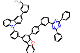 Cc1cccc(-c2ccc3c(c2)c2ccccc2n3-c2cccc(-c3cc(-c4ccc(-c5cccc(-c6nc(-c7ccccc7)nc(-c7ccccc7)n6)c5)cc4)c4oc5ccccc5c4c3)c2)c1